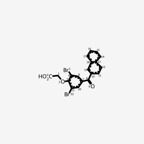 O=C(O)COc1c(Br)cc(C(=O)c2ccc3ccccc3c2)cc1Br